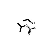 CC(C)O[N+](=O)[O-].CCO